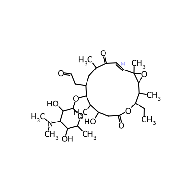 CCC1OC(=O)CC(O)C(C)C(OC2OC(C)C(O)C(N(C)C)C2O)C(CC=O)CC(C)C(=O)/C=C/C2(C)OC2C1C